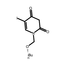 CC[C@@H](C)OCN1C=C(I)C(=O)CC1=O